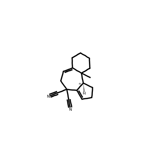 CC12CCCCC1=CCC(C#N)(C#N)C1=CCC[C@@H]12